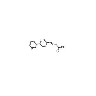 O=C(O)CC=Cc1ccc(-c2cccnc2)cc1